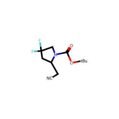 CC(C)(C)OC(=O)N1CC(F)(F)CC1CC#N